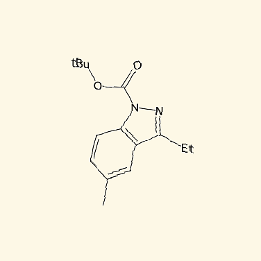 CCc1nn(C(=O)OC(C)(C)C)c2ccc(C)cc12